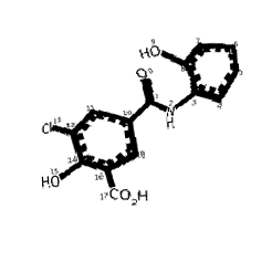 O=C(Nc1ccccc1O)c1cc(Cl)c(O)c(C(=O)O)c1